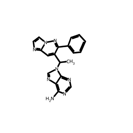 CC(c1cc2nccn2nc1-c1ccccc1)n1cnc2c(N)ncnc21